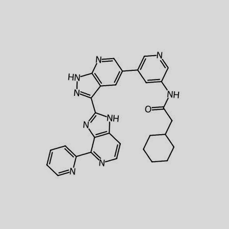 O=C(CC1CCCCC1)Nc1cncc(-c2cnc3[nH]nc(-c4nc5c(-c6ccccn6)nccc5[nH]4)c3c2)c1